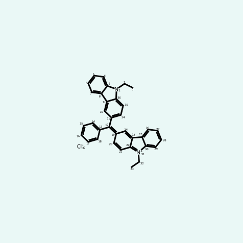 CCn1c2ccccc2c2cc(/C(c3ccccc3)=c3/ccc4c(c3)-c3ccccc3[N+]=4CC)ccc21.[Cl-]